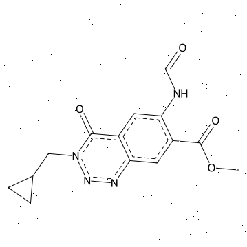 COC(=O)c1cc2nnn(CC3CC3)c(=O)c2cc1NC=O